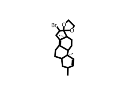 CC1C=C[C@@]2(C)C(CCC3=C4CC(Br)C5(OCCO5)[C@@]4(C)CCC32)C1